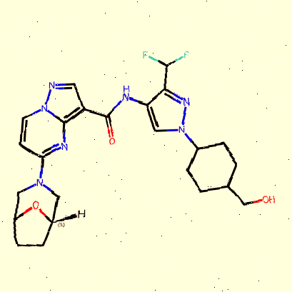 O=C(Nc1cn(C2CCC(CO)CC2)nc1C(F)F)c1cnn2ccc(N3CC4CC[C@@H](C3)O4)nc12